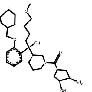 COCCCC[C@@](O)(c1ccccc1OCC1CCCCC1)[C@@H]1CCCN(C(=O)[C@H]2C[C@@H](N)[C@@H](O)C2)C1